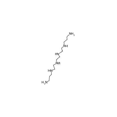 NCCCNCCNCCNCCNCCCN